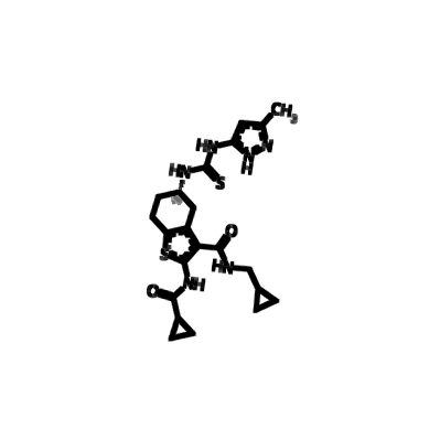 Cc1cc(NC(=S)N[C@H]2CCc3sc(NC(=O)C4CC4)c(C(=O)NCC4CC4)c3C2)[nH]n1